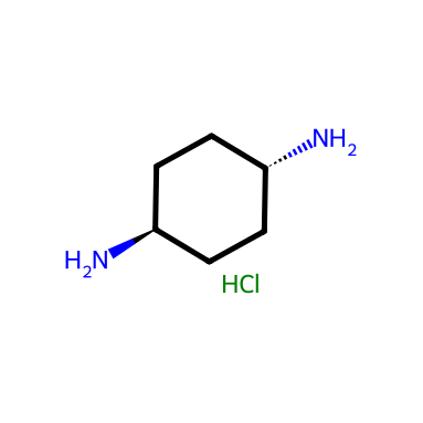 Cl.N[C@H]1CC[C@H](N)CC1